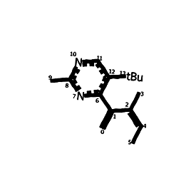 C=C(/C(C)=C\C)c1nc(C)ncc1C(C)(C)C